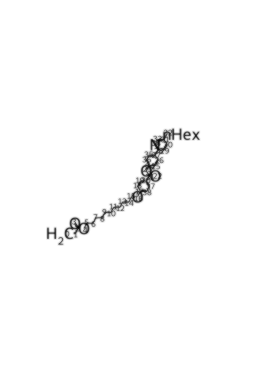 C=CC(=O)OCCCCCCCCCCCOc1ccc(C(=O)Oc2ccc(-c3ccc(CCCCCC)cn3)cc2)cc1